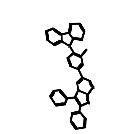 Cc1cc(-c2cnc3nc(-c4ccccc4)c(-c4ccccc4)n3c2)ccc1-n1c2ccccc2c2ccccc21